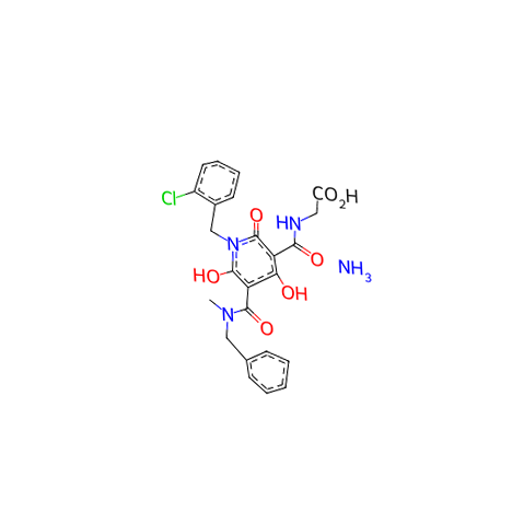 CN(Cc1ccccc1)C(=O)c1c(O)c(C(=O)NCC(=O)O)c(=O)n(Cc2ccccc2Cl)c1O.N